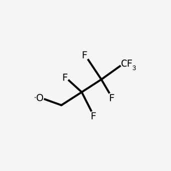 [O]CC(F)(F)C(F)(F)C(F)(F)F